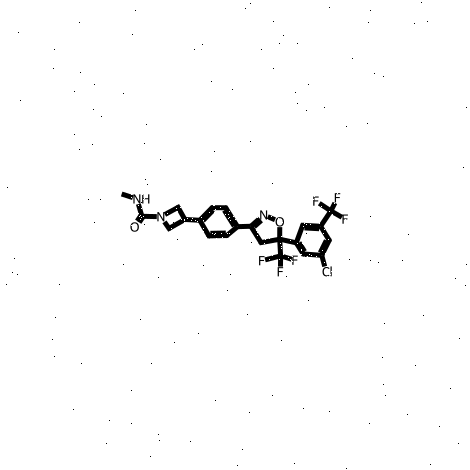 CNC(=O)N1CC(c2ccc(C3=NOC(c4cc(Cl)cc(C(F)(F)F)c4)(C(F)(F)F)C3)cc2)C1